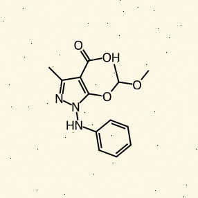 COC(C)Oc1c(C(=O)O)c(C)nn1Nc1ccccc1